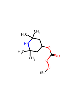 CC1(C)CC(OC(=O)OOC(C)(C)C)CC(C)(C)N1